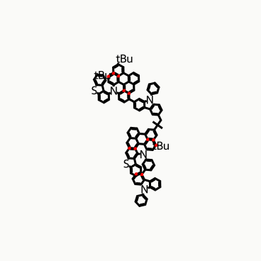 CC(C)(C)c1cc(-c2cccc3cccc(-c4ccccc4N(c4ccc(-c5ccc6c7cc(CC(C)(C)c8cc(-c9cccc%10cccc(-c%11ccccc%11N(c%11cccc(-c%12cccc%13c%12c%12ccccc%12n%13-c%12ccccc%12)c%11)c%11cccc%12sc%13ccccc%13c%11%12)c9%10)cc(C(C)(C)C)c8)ccc7n(-c7ccccc7)c6c5)cc4)c4cccc5sc6ccccc6c45)c23)cc(C(C)(C)C)c1